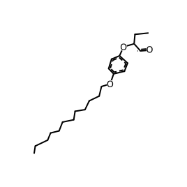 CCCCCCCCCCCCOc1ccc(OC([C]=O)CC)cc1